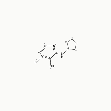 Nc1c(Cl)cnnc1NC1CCCC1